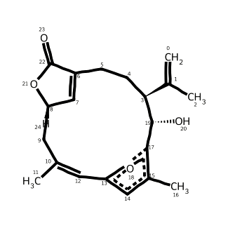 C=C(C)[C@@H]1CCC2=C[C@H](C/C(C)=C\c3cc(C)c(o3)[C@H]1O)OC2=O